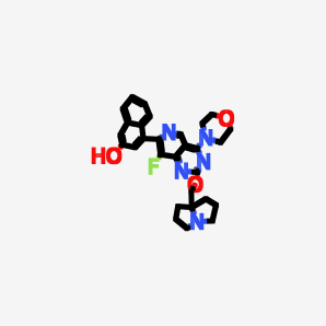 Oc1cc(-c2ncc3c(N4CCOCC4)nc(OCC45CCCN4CCC5)nc3c2F)c2ccccc2c1